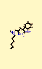 CCCCCCN(C)CC(N)Cc1c[nH]c2ccccc12